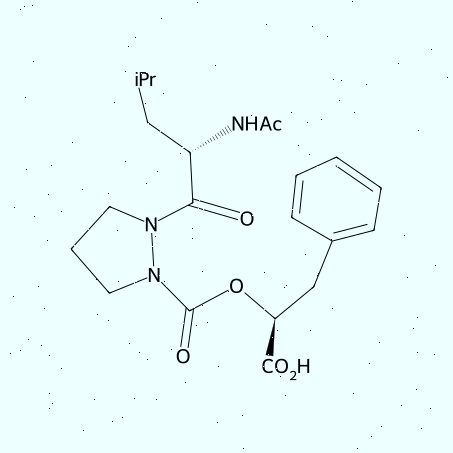 CC(=O)N[C@@H](CC(C)C)C(=O)N1CCCN1C(=O)O[C@@H](Cc1ccccc1)C(=O)O